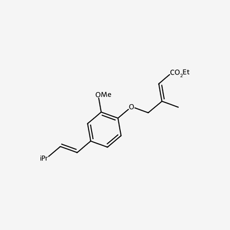 CCOC(=O)C=C(C)COc1ccc(C=CC(C)C)cc1OC